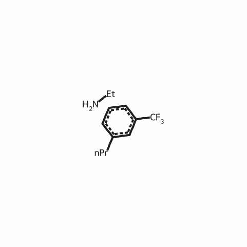 CCCc1cccc(C(F)(F)F)c1.CCN